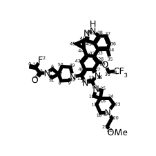 C=C(F)C(=O)N1CC2(CCN(c3nc(N4CC5(CCN(CCOC)CC5)C4)nc4c(OCC(F)(F)F)c(-c5c(C)ccc6[nH]ncc56)c(C5CC5)cc34)CC2)C1